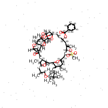 C=C1C2C[C@@H]3O[C@H](C[C@H](C)CO[Si](C)(C)C(C)(C)C)[C@H](C)C3CC(=O)C[C@H]3CC[C@@H]4O[C@@H]5[C@H]6O[C@@H]7C[C@](CC[C@H](OC(=O)c8ccccc8)CC(=C)[C@H](OS(C)(=O)=O)CC[C@@H](C[C@H]1C)O2)(O[C@H]6[C@H]4O3)O[C@H]57